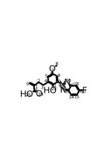 C=C(CCc1cc(OC)cc(-n2nc3ccc(F)cc3n2)c1O)C(=O)O